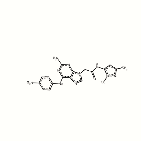 CCn1nc(C)cc1NC(=O)Cn1cnc2c(Nc3ccc([N+](=O)[O-])cc3)nc(N)nc21